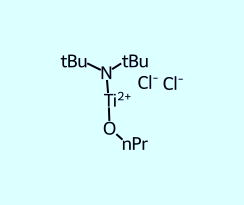 CCC[O][Ti+2][N](C(C)(C)C)C(C)(C)C.[Cl-].[Cl-]